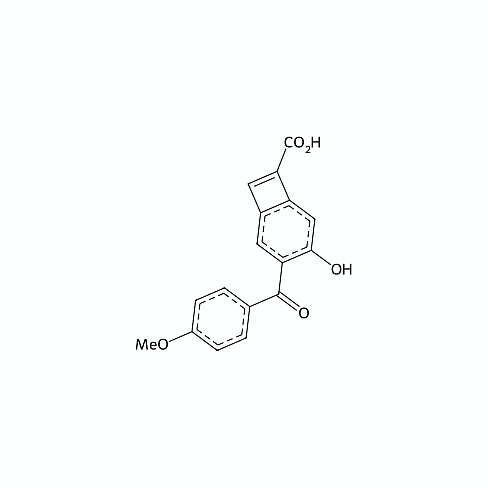 COc1ccc(C(=O)c2cc3c(cc2O)C(C(=O)O)=C3)cc1